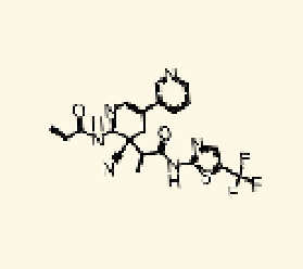 C=CC(=O)NC1=NC=C(c2cccnc2)CC1(C#N)C(C)C(=O)Nc1ncc(C(F)(F)F)s1